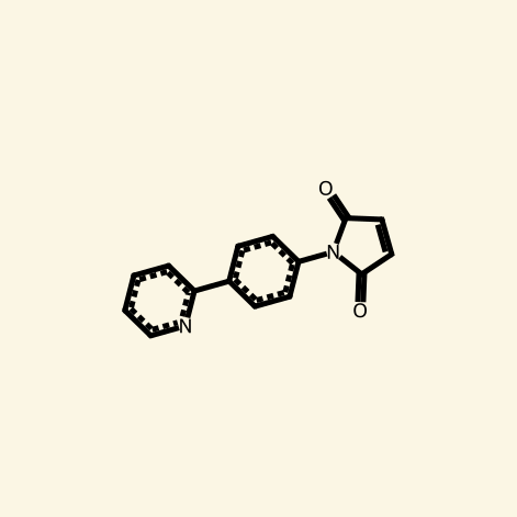 O=C1C=CC(=O)N1c1ccc(-c2ccccn2)cc1